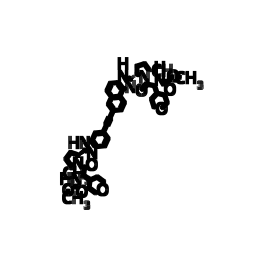 COC(=O)N[C@H](C(=O)N1[C@@H](C)CC[C@H]1c1nc2ccc(C#Cc3ccc4c(ccc5[nH]c([C@@H]6CC[C@H](C)N6C(=O)[C@@H](NC(=O)OC)C6CCOCC6)nc54)c3)cc2[nH]1)C1CCOCC1